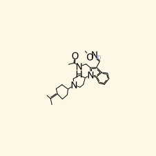 CO/N=C\c1c(CNC(C)=O)n(C2CCN(C3CCC(=C(C)C)CC3)CC2)c2ccccc12